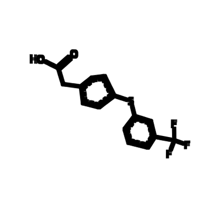 O=C(O)Cc1ccc(Sc2cccc(C(F)(F)F)c2)cc1